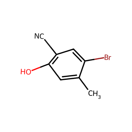 Cc1cc(O)c(C#N)cc1Br